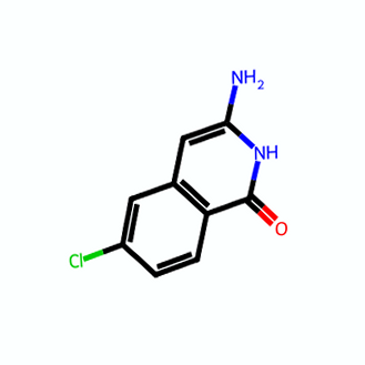 Nc1cc2cc(Cl)ccc2c(=O)[nH]1